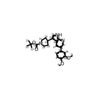 COc1ccc(-c2cnc3[nH]cc(C4CCN(C(=O)OC(C)(C)C)CC4)c3c2)cc1OC